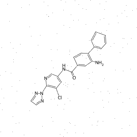 Nc1cc(C(=O)Nc2cnc(-n3nccn3)c(Cl)c2)ccc1-c1ccccc1